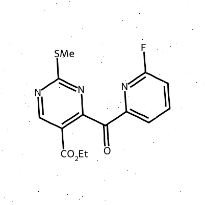 CCOC(=O)c1cnc(SC)nc1C(=O)c1cccc(F)n1